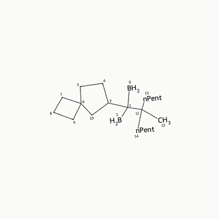 BC(B)(C1CCC2(CCC2)C1)C(C)(CCCCC)CCCCC